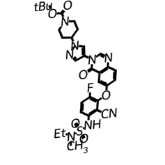 CCN(C)S(=O)(=O)Nc1ccc(F)c(Oc2ccc3ncn(-c4cnn(C5CCN(C(=O)OC(C)(C)C)CC5)c4)c(=O)c3c2)c1C#N